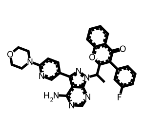 CC(c1oc2ccccc2c(=O)c1-c1cccc(F)c1)n1nc(-c2ccc(N3CCOCC3)nc2)c2c(N)ncnc21